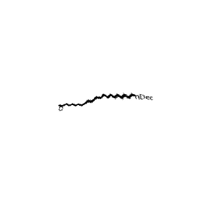 CCCCCCCCCCCCCCCCCCCCCCCCCCCCCC1CO1